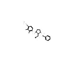 Cc1c(C#N)ccc(NC2CC[C@H](OC(=O)c3ccccc3)C2CC=O)c1C